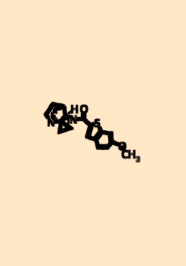 COc1ccc2cc(C(=O)N[C@@H]3C4CCN(CC4)C34CC4)sc2c1